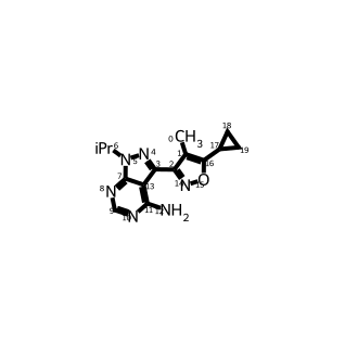 Cc1c(-c2nn(C(C)C)c3ncnc(N)c23)noc1C1CC1